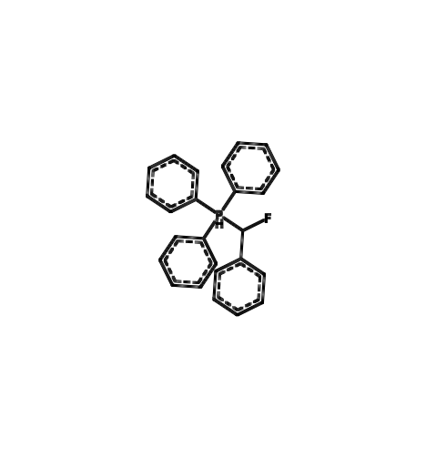 FC(c1ccccc1)[PH](c1ccccc1)(c1ccccc1)c1ccccc1